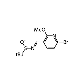 COc1nc(Br)ccc1C=N[S+]([O-])C(C)(C)C